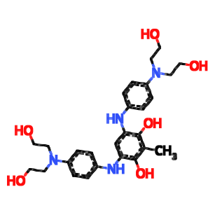 Cc1c(O)c(Nc2ccc(N(CCO)CCO)cc2)cc(Nc2ccc(N(CCO)CCO)cc2)c1O